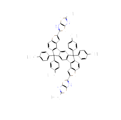 Cc1ccc(C2(c3ccc(C)cc3)c3cc4c(cc3-c3c2ccc2sc(-c5nc6sc(C)nc6s5)cc32)C(c2ccc(C)cc2)(c2ccc(C)cc2)c2ccc3sc(-c5nc6sc(C)nc6s5)cc3c2-4)cc1